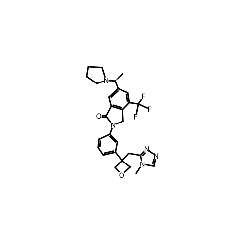 C[C@@H](c1cc2c(c(C(F)(F)F)c1)CN(c1cccc(C3(Cc4nncn4C)COC3)c1)C2=O)N1CCCC1